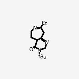 CCC1=NCCC2C(=O)N(C(C)(C)C)CN=C2C1